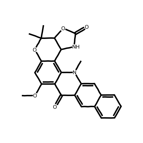 COc1cc2c(c3c1c(=O)c1cc4ccccc4cc1n3C)C1NC(=O)OC1C(C)(C)O2